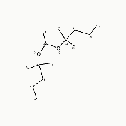 [CH2]C(OC(C)(C)CCC)OC(C)(C)CCC